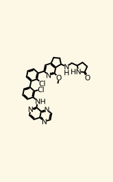 COc1nc(-c2cccc(-c3cccc(Nc4nccc5nccnc45)c3Cl)c2Cl)cc2c1C(NCC1CCC(=O)N1)CC2